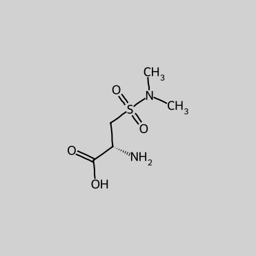 CN(C)S(=O)(=O)C[C@H](N)C(=O)O